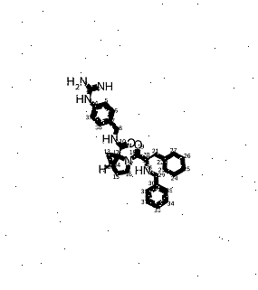 N=C(N)Nc1ccc(CNC(=O)[C@]23C[C@H]2CCN3C(=O)[C@@H](CC2CCCCC2)NCc2ccccc2)cc1